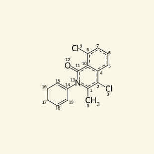 Cc1c(Cl)c2cccc(Cl)c2c(=O)n1C1=CCCC=C1